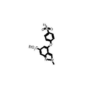 CCOC(=O)c1cc(Oc2ccc(S(=O)(=O)CC)cc2)c2cn(C)nc2c1